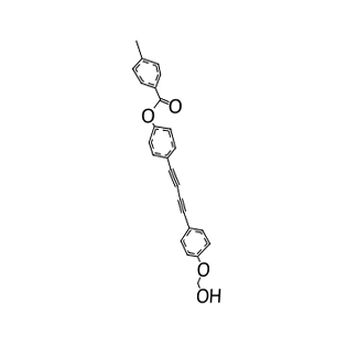 Cc1ccc(C(=O)Oc2ccc(C#CC#Cc3ccc(OCO)cc3)cc2)cc1